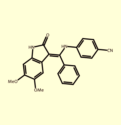 COc1cc2c(cc1OC)/C(=C(/Nc1ccc(C#N)cc1)c1ccccc1)C(=O)N2